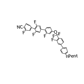 CCCCCc1ccc(-c2ccc(C(F)(F)Oc3ccc(-c4cc(F)c(-c5ccc(C#N)c(F)c5)c(F)c4)c(F)c3)c(F)c2)cc1